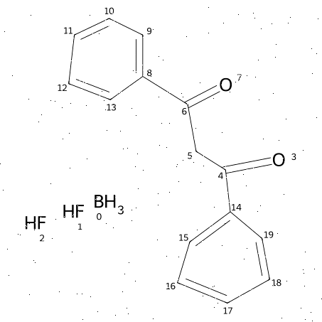 B.F.F.O=C(CC(=O)c1ccccc1)c1ccccc1